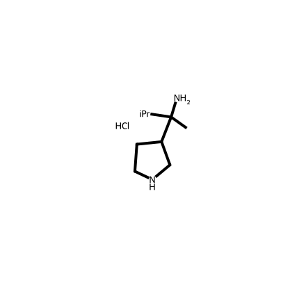 CC(C)C(C)(N)C1CCNC1.Cl